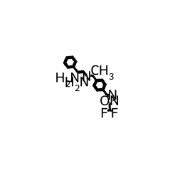 CC(c1ccc(-c2nnc(C(F)F)o2)cc1)N(N)/C=C(\N)c1ccccc1